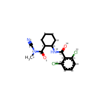 CN(C#N)C(=O)C1CCCCC1NC(=O)c1c(Cl)cccc1Cl